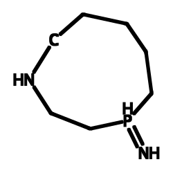 N=[PH]1CCCCCNCC1